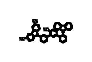 N#Cc1ccc2c(c1)c1cc(C#N)ccc1n2-c1cccc(-c2cc(-c3ccccc3-n3c4ccccc4c4ccccc43)ccc2C#N)c1